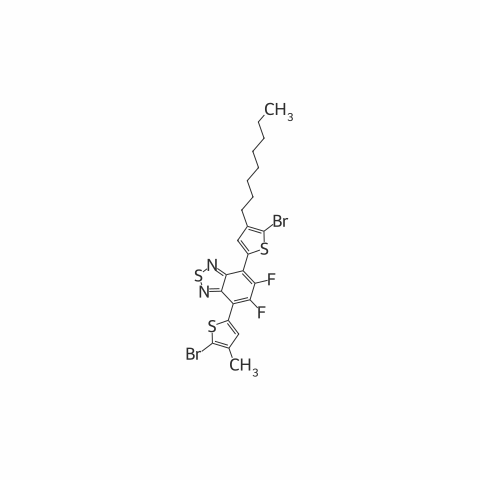 CCCCCCCCc1cc(-c2c(F)c(F)c(-c3cc(C)c(Br)s3)c3nsnc23)sc1Br